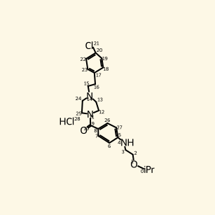 CC(C)OCCNc1ccc(C(=O)N2CCN(CCc3ccc(Cl)cc3)CC2)cc1.Cl